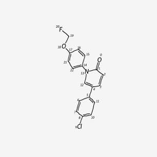 O=c1ccc(-c2ccc(Cl)cc2)cn1-c1ccc(OCF)cc1